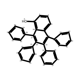 Oc1cccc2c(-c3ccccc3)c(-c3ccccc3)c(-c3ccccc3)c(-c3ccccc3)c12